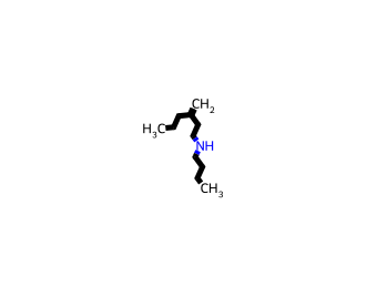 C=C(CCC)CCNCCCC